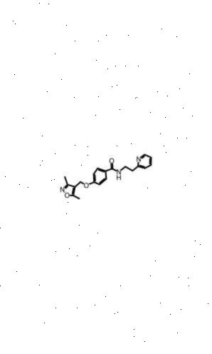 Cc1noc(C)c1COc1ccc(C(=O)NCCc2ccccn2)cc1